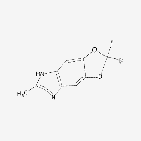 Cc1nc2cc3c(cc2[nH]1)OC(F)(F)O3